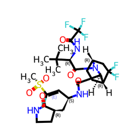 CC(C)(C)[C@@H](NC(=O)C(F)(F)F)C(=O)N1[C@@H]2CC[C@H]([C@H]1C(=O)N[C@H](/C=C(\F)S(C)(=O)=O)C[C@H]1CCNC1=O)C(F)(F)C2